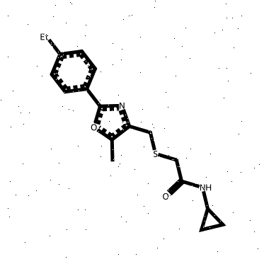 CCc1ccc(-c2nc(CSCC(=O)NC3CC3)c(C)o2)cc1